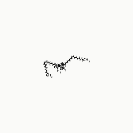 CCCCCCCC/C=C\CCCCCCCC(=O)OC(C)N(C)C(C)OC(=O)CCCCCCC/C=C\CCCCCCCC